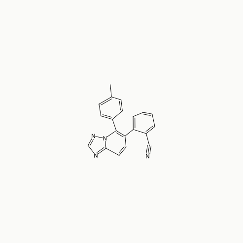 Cc1ccc(-c2c(-c3ccccc3C#N)ccc3ncnn23)cc1